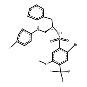 COc1cc(S(=O)(=O)N[C@@H](CNc2ccc(F)cc2)Cc2ccccc2)c(Br)cc1C(F)(F)F